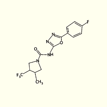 CC1CN(C(=O)Nc2nnc(-c3ccc(F)cc3)o2)CC1C(F)(F)F